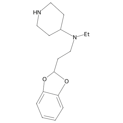 CCN(CCC1Oc2ccccc2O1)C1CCNCC1